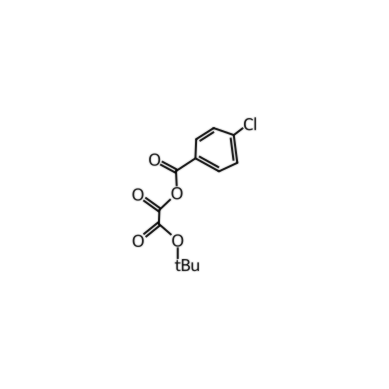 CC(C)(C)OC(=O)C(=O)OC(=O)c1ccc(Cl)cc1